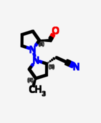 C[C@@H]1C[C@@H](CC#N)N(N2CCC[C@H]2C=O)C1